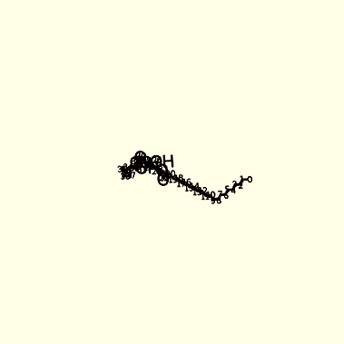 CCCCCCCC/C=C\CCCCCCCCCCCC(=O)OC[C@@H](O)COP(=O)(O)OCC[N+](C)(C)C